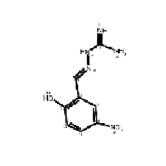 N=C(N)NN=Cc1cc([N+](=O)[O-])ccc1O